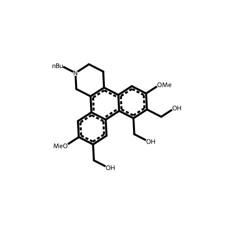 CCCCN1CCc2c(c3cc(OC)c(CO)cc3c3c(CO)c(CO)c(OC)cc23)C1